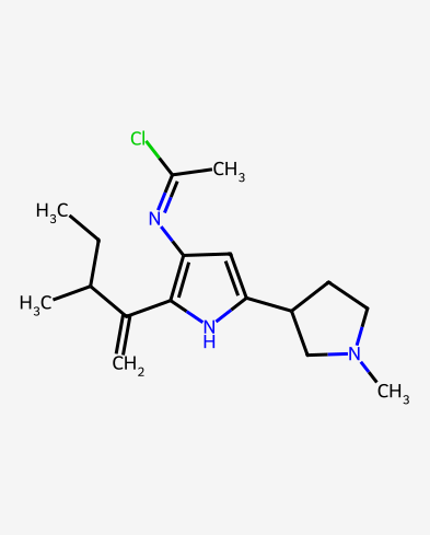 C=C(c1[nH]c(C2CCN(C)C2)cc1/N=C(\C)Cl)C(C)CC